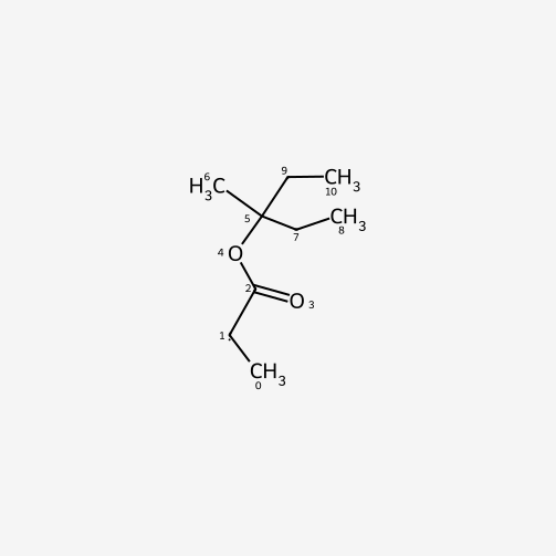 C[CH]C(=O)OC(C)(CC)CC